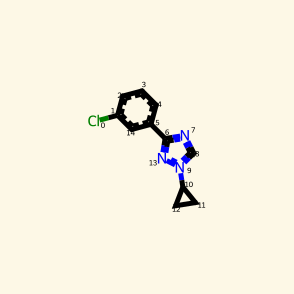 Clc1cccc(-c2n[c]n(C3CC3)n2)c1